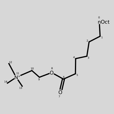 CCCCCCCCCCCCCC(=O)OCC[N+](C)(C)C